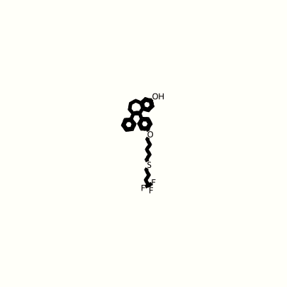 Oc1ccc2c(c1)CCCC(c1ccccc1)=C2c1ccc(OCCCCCSCCCC(F)(F)F)cc1